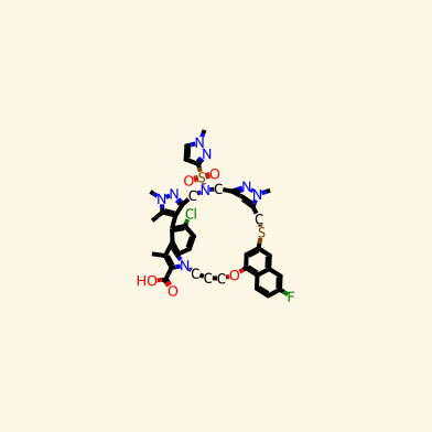 Cc1c(C(=O)O)n2c3ccc(Cl)c(c13)-c1c(nn(C)c1C)CN(S(=O)(=O)c1ccn(C)n1)Cc1cc(n(C)n1)CSc1cc(c3ccc(F)cc3c1)OCCC2